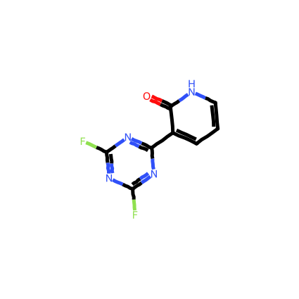 O=c1[nH]cccc1-c1nc(F)nc(F)n1